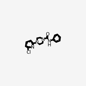 O=C(Nc1ccccc1)N1CCN(c2cccc(Cl)n2)CC1